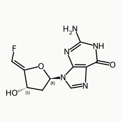 Nc1nc2c(ncn2[C@H]2C[C@H](O)C(=CF)O2)c(=O)[nH]1